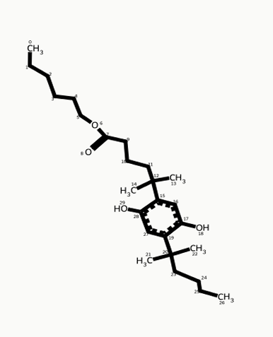 CCCCCCOC(=O)CCCC(C)(C)c1cc(O)c(C(C)(C)CCCC)cc1O